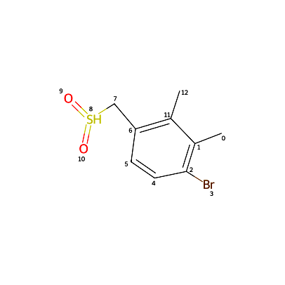 Cc1c(Br)ccc(C[SH](=O)=O)c1C